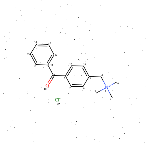 C[N+](C)(C)Cc1ccc(C(=O)c2ccccc2)cc1.[Cl-]